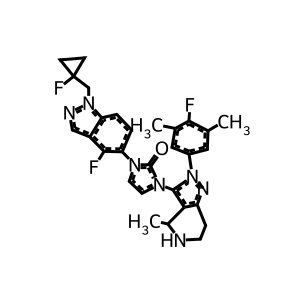 Cc1cc(-n2nc3c(c2-n2ccn(-c4ccc5c(cnn5CC5(F)CC5)c4F)c2=O)C(C)NCC3)cc(C)c1F